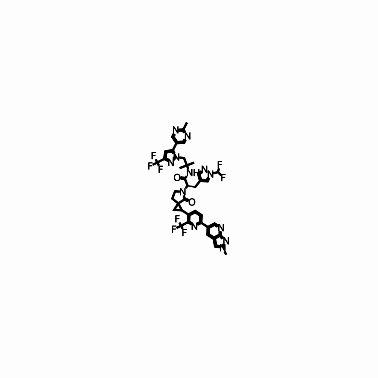 Cc1ncc(-c2cc(C(F)(F)F)nn2CC(C)(C)NC(=O)[C@@H](Cc2cnn(C(F)F)c2)N2CCC3(CC3c3ccc(-c4cnc5nn(C)cc5c4)nc3C(F)(F)F)C2=O)cn1